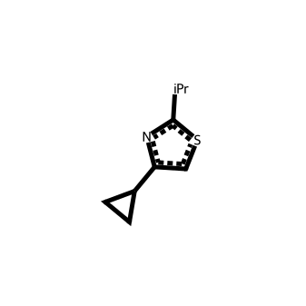 CC(C)c1nc(C2CC2)cs1